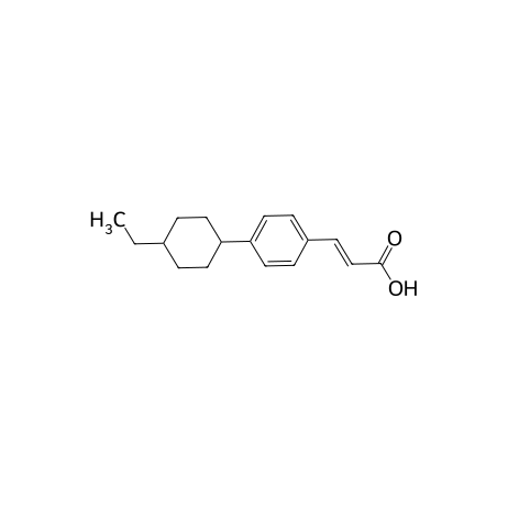 CCC1CCC(c2ccc(C=CC(=O)O)cc2)CC1